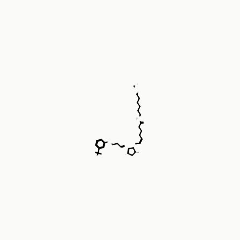 O=C(CCC/C=C\C[C@@H]1[C@@H](/C=C/[C@@H](O)COc2cccc(C(F)(F)F)c2)[C@H](O)C[C@@H]1O)NCCCCCCO[N+](=O)[O-]